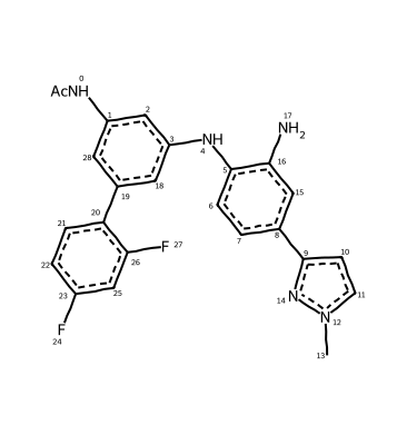 CC(=O)Nc1cc(Nc2ccc(-c3ccn(C)n3)cc2N)cc(-c2ccc(F)cc2F)c1